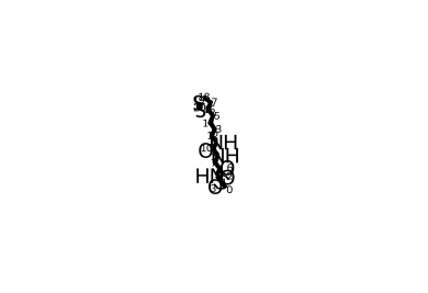 CS(=O)(=O)NC(=O)CNC(=O)NCCCCC1CCSS1